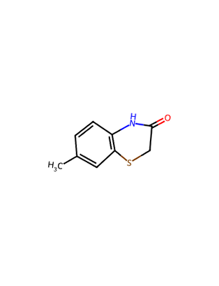 Cc1ccc2c(c1)SCC(=O)N2